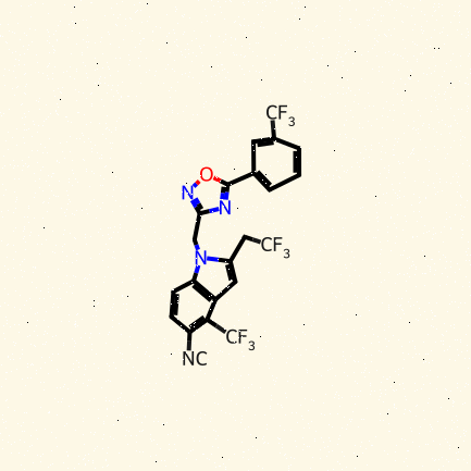 [C-]#[N+]c1ccc2c(cc(CC(F)(F)F)n2Cc2noc(-c3cccc(C(F)(F)F)c3)n2)c1C(F)(F)F